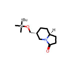 CC(C)(C)[Si](C)(C)OC[C@@H]1CC[C@H]2CCC(=O)N2C1